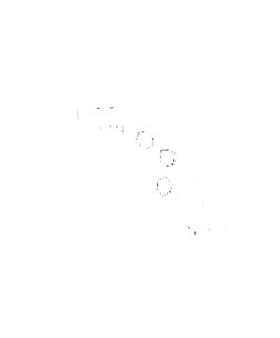 Cc1c(OCCCN2CCC2(C)C)cccc1-c1cccc(-c2ccc3c(c2)CCN(C(=O)OC(C)(C)C)C3)c1Cl